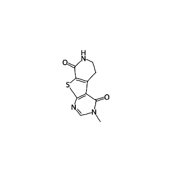 Cn1cnc2sc3c(c2c1=O)CCNC3=O